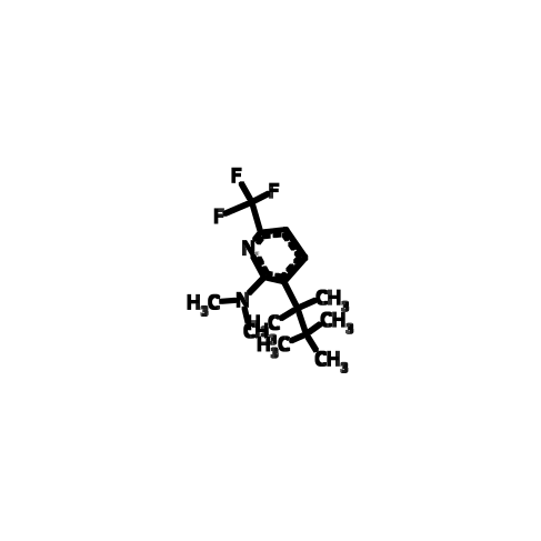 CN(C)c1nc(C(F)(F)F)ccc1C(C)(C)C(C)(C)C